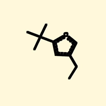 CCc1coc(C(C)(C)C)c1